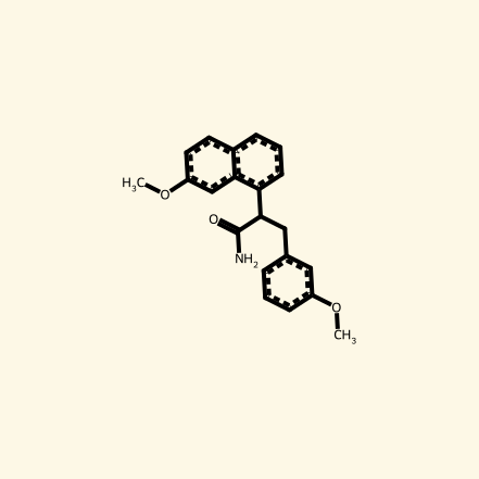 COc1cccc(CC(C(N)=O)c2cccc3ccc(OC)cc23)c1